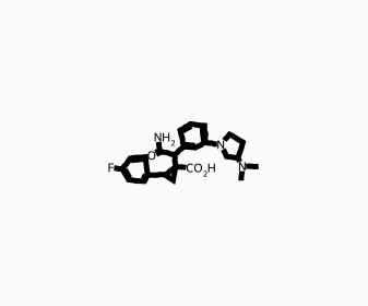 CN(C)C1CCN(c2cccc(C(C(N)=O)C3(C(=O)O)CC3c3ccc(F)cc3)c2)C1